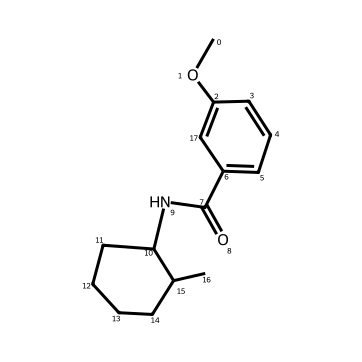 COc1cccc(C(=O)NC2CCCCC2C)c1